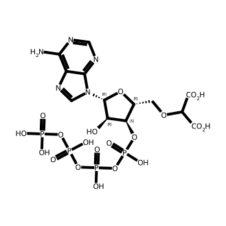 Nc1ncnc2c1ncn2[C@@H]1O[C@H](COC(C(=O)O)C(=O)O)[C@@H](OP(=O)(O)OP(=O)(O)OP(=O)(O)OP(=O)(O)O)[C@H]1O